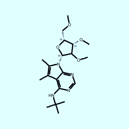 COC[C@H]1O[C@@H](n2c(C)c(C)c3c(NC(C)(C)C)ncnc32)C(OC)[C@H]1OC